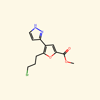 COC(=O)c1cc(-c2cc[nH]n2)c(CCCBr)o1